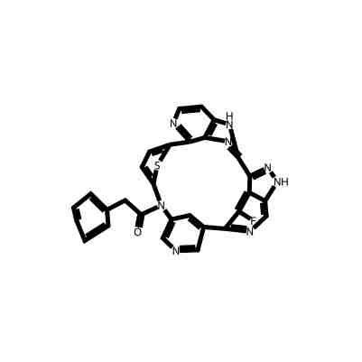 O=C(Cc1ccccc1)n1c2cncc(c2)c2ncc3[nH]nc(c4nc5c(ccnc5c5ccc1s5)[nH]4)c3c2F